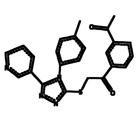 CC(=O)c1cccc(C(=O)CSc2nnc(-c3cccnc3)n2-c2ccc(C)cc2)c1